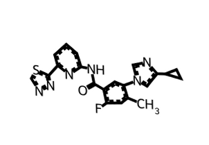 Cc1cc(F)c(C(=O)Nc2cccc(-c3nncs3)n2)cc1-n1cnc(C2CC2)c1